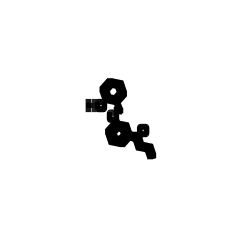 CCCC(=O)c1cccc(OC[C@@H]2CCCC[C@H]2O)c1